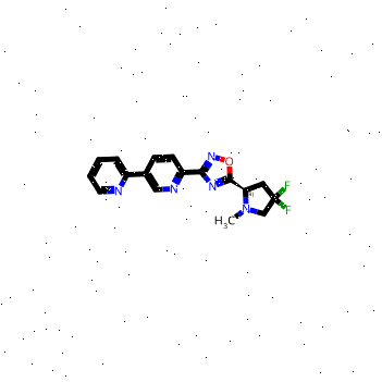 CN1CC(F)(F)C[C@@H]1c1nc(-c2ccc(-c3ccccn3)cn2)no1